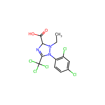 CCN1C(C(=O)O)N=C(C(Cl)(Cl)Cl)N1c1ccc(Cl)cc1Cl